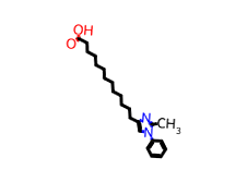 Cc1nc(CCCCCCCCCCCCC(=O)O)cn1-c1ccccc1